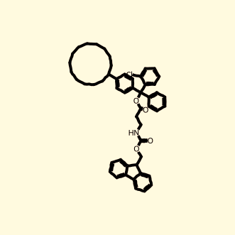 O=C(CCNC(=O)OCC1c2ccccc2-c2ccccc21)OC(c1ccccc1)(c1ccc(C2CCCCCCCCCCCCC2)cc1)c1ccccc1Cl